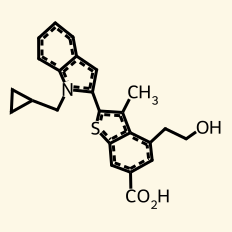 Cc1c(-c2cc3ccccc3n2CC2CC2)sc2cc(C(=O)O)cc(CCO)c12